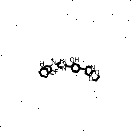 CN(c1cnc(-c2ccc(-c3cnc4c(c3)OCCO4)cc2O)nn1)[C@@H]1C[C@H]2CCC[C@](C)(C2)[C@@H]1F